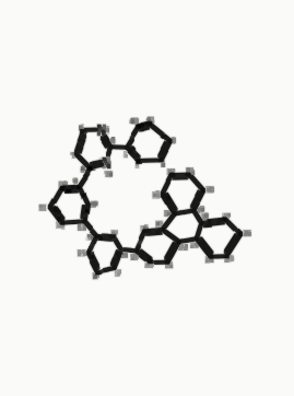 c1ccc(-c2nccc(-c3cccc(-c4cccc(-c5ccc6c7ccccc7c7ccccc7c6c5)c4)c3)n2)cc1